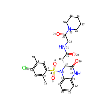 Cc1cc(S(=O)(=O)N2c3ccccc3NC(=O)[C@H]2CC(=O)NCC(=O)N2CCCCC2)c(C)cc1Cl